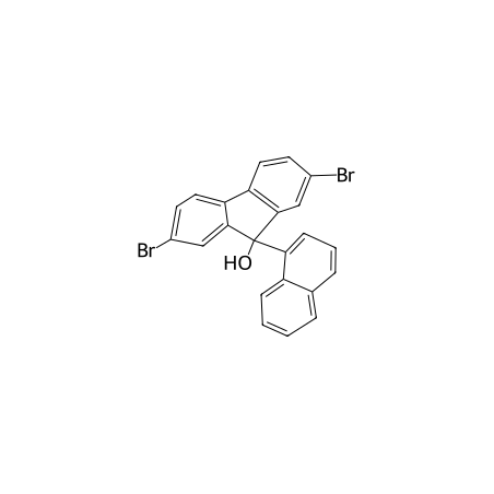 OC1(c2cccc3ccccc23)c2cc(Br)ccc2-c2ccc(Br)cc21